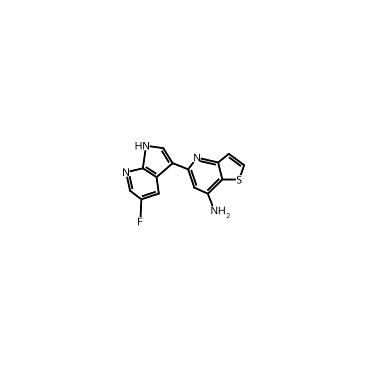 Nc1cc(-c2c[nH]c3ncc(F)cc23)nc2ccsc12